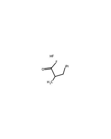 CC(C)CC(C)C(=O)F.F